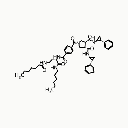 CCCCCCNC(=O)[C@@H](CCNC(=O)CCCCCC)NC(=O)c1ccc(C(=O)N2C[C@@H](C(=O)N[C@H]3C[C@@H]3c3ccccc3)[C@H](C(=O)N[C@H]3C[C@@H]3c3ccccc3)C2)cc1